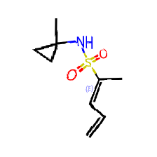 C=C/C=C(\C)S(=O)(=O)NC1(C)CC1